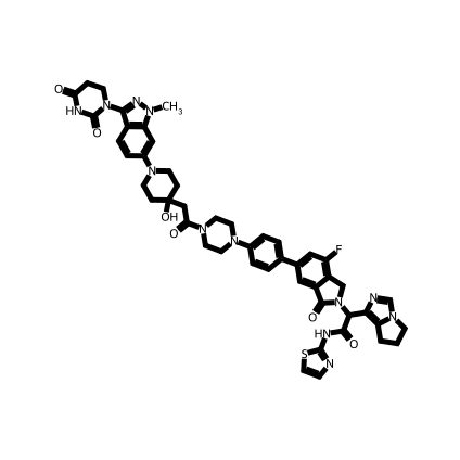 Cn1nc(N2CCC(=O)NC2=O)c2ccc(N3CCC(O)(CC(=O)N4CCN(c5ccc(-c6cc(F)c7c(c6)C(=O)N(C(C(=O)Nc6nccs6)c6ncn8c6CCC8)C7)cc5)CC4)CC3)cc21